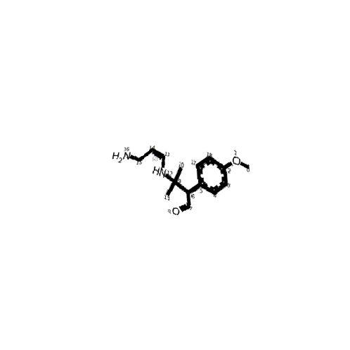 COc1ccc(C(C=O)C(C)(C)N/C=C\CN)cc1